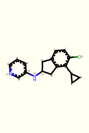 Clc1ccc2c(c1C1CC1)CC(Nc1cccnc1)C2